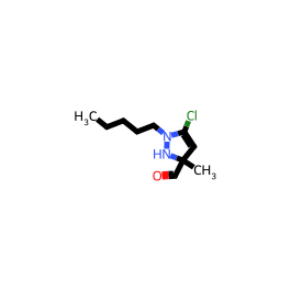 CCCCCN1NC(C)(C=O)C=C1Cl